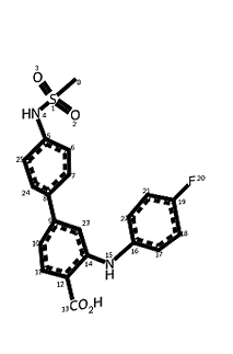 CS(=O)(=O)Nc1ccc(-c2ccc(C(=O)O)c(Nc3ccc(F)cc3)c2)cc1